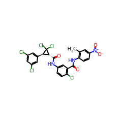 Cc1cc([N+](=O)[O-])ccc1NC(=O)c1cc(NC(=O)[C@@H]2[C@@H](c3cc(Cl)cc(Cl)c3)C2(Cl)Cl)ccc1Cl